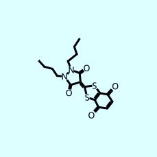 CCCCN1C(=O)C(=C2SC3=C(S2)C(=O)C=CC3=O)C(=O)N1CCCC